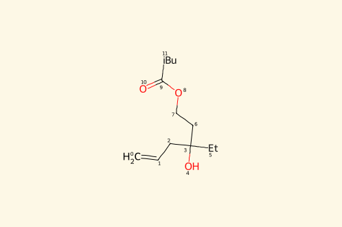 C=CCC(O)(CC)CCOC(=O)C(C)CC